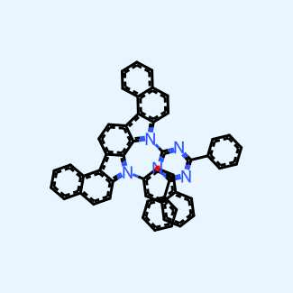 c1ccc(-c2nc(-c3ccccc3)nc(-n3c4ccc5ccccc5c4c4ccc5c6c7ccccc7ccc6n(-c6ccc7ccccc7c6)c5c43)n2)cc1